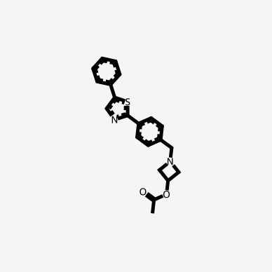 CC(=O)OC1CN(Cc2ccc(-c3ncc(-c4ccccc4)s3)cc2)C1